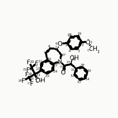 COc1ccc(O[C@H]2CCc3cc(C(O)(C(F)(F)F)C(F)(F)F)ccc3N(C(=O)[C@@H](O)c3ccccc3)C2)cc1